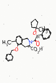 Cc1ccc2c(c1OCc1ccccc1)C[C@H](C(=O)O)N(C(=O)[C@H](OC1(C)CCCC1)c1ccccc1)C2